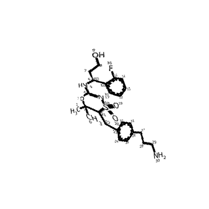 CC1(C)OC(N[C@@H](CCO)c2ccccc2F)=NS(=O)(=O)C1Cc1ccc(CCCN)cc1